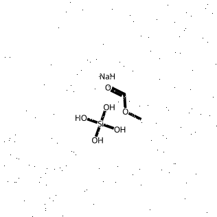 COC=O.O[Si](O)(O)O.[NaH]